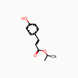 CC(C#N)OC(=O)C=Cc1ccc(O)cc1